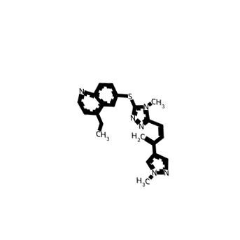 C=C(/C=C\c1nnc(Sc2ccc3nccc(CC)c3c2)n1C)c1cnn(C)c1